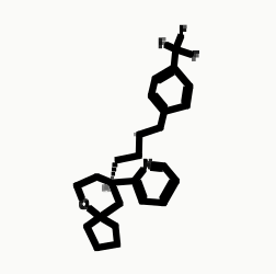 FC(F)(F)c1ccc(C[CH]CC[C@@]2(c3ccccn3)CCOC3(CCCC3)C2)cc1